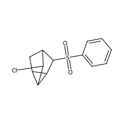 O=S(=O)(c1ccccc1)C1C2CC3C(C2Cl)C31